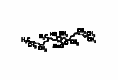 COC(=O)c1cc(CC=C(C)CCC=C(C)CCC=C(C)C)c(O)c(N)c1CC=C(C)CCC=C(C)CCC=C(C)C